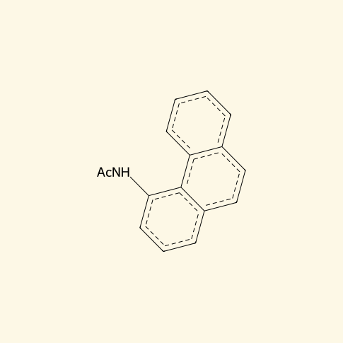 CC(=O)Nc1cccc2ccc3ccccc3c12